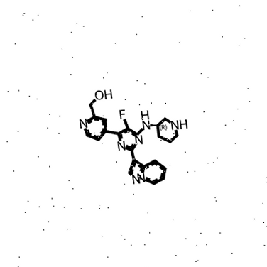 OCc1cc(-c2nc(-c3cnn4ccccc34)nc(N[C@@H]3CCCNC3)c2F)ccn1